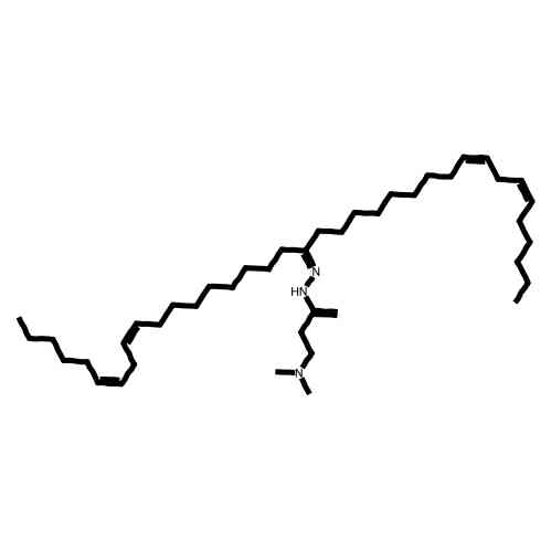 C=C(CCN(C)C)NN=C(CCCCCCCC/C=C\C/C=C\CCCCC)CCCCCCCC/C=C\C/C=C\CCCCC